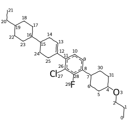 CCCOC1CCC(c2ccc(C3=CCC(C4CCC(CC)CC4)CC3)c(Cl)c2F)CC1